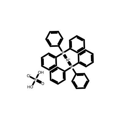 O=P([O-])(O)O.c1ccc(P(=[N+]=P(c2ccccc2)(c2ccccc2)c2ccccc2)(c2ccccc2)c2ccccc2)cc1